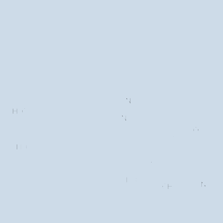 CC(C)c1ccc(-n2nc(CCC3CCCC3)c3c2CC(C)(C)C(C#N)C3=O)cc1